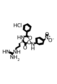 Cl.N=C(N)NCCC[C@H](NC(=O)c1ccccc1)C(=O)ONc1ccc([N+](=O)[O-])cc1